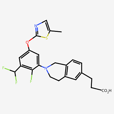 Cc1cnc(Oc2cc(C(F)F)c(F)c(N3CCc4cc(CCC(=O)O)ccc4C3)c2)s1